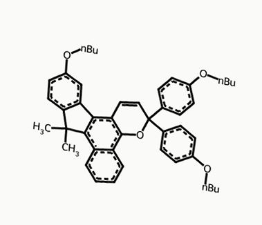 CCCCOc1ccc(C2(c3ccc(OCCCC)cc3)C=Cc3c4c(c5ccccc5c3O2)C(C)(C)c2ccc(OCCCC)cc2-4)cc1